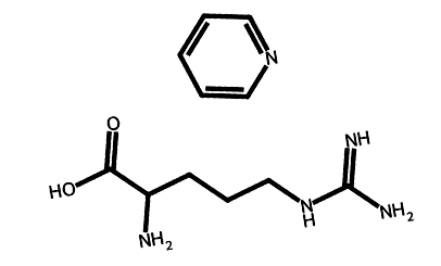 N=C(N)NCCCC(N)C(=O)O.c1ccncc1